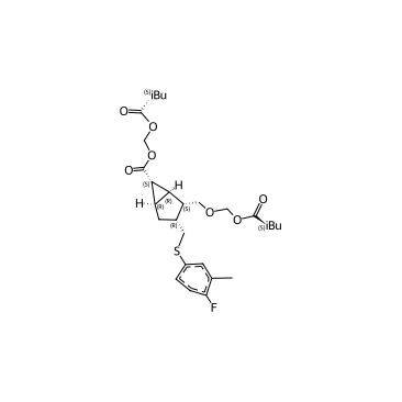 CC[C@H](C)C(=O)OCOC[C@@H]1[C@H](CSc2ccc(F)c(C)c2)C[C@H]2[C@H](C(=O)OCOC(=O)[C@@H](C)CC)[C@@H]12